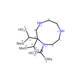 COC(C(=O)O)N1CCNCCNCC1(C(OC)C(=O)O)C(OC)C(=O)O